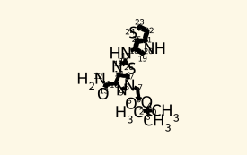 CC(C)(C)OC(=O)CN1N=C(C(N)=O)C2N=C(Nc3c[nH]c4ccsc34)SC21